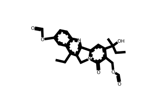 CCc1c2c(nc3ccc(OC=O)cc13)-c1cc(C(C)(O)CC)c(COC=O)c(=O)n1C2